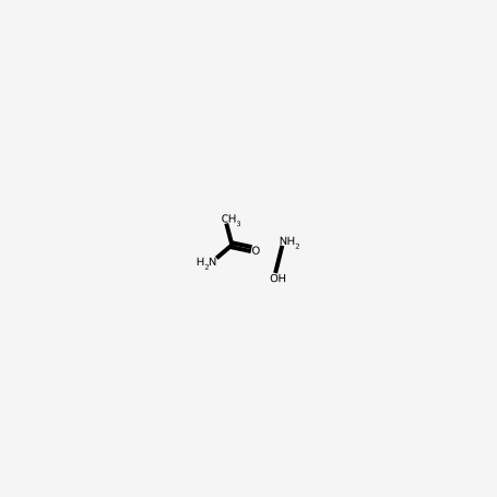 CC(N)=O.NO